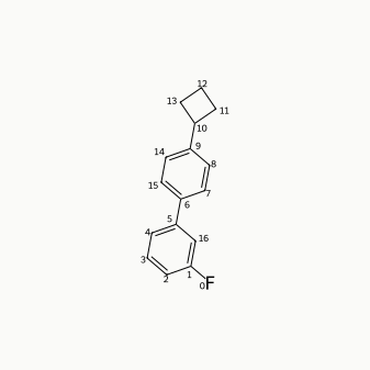 Fc1cccc(-c2ccc(C3CCC3)cc2)c1